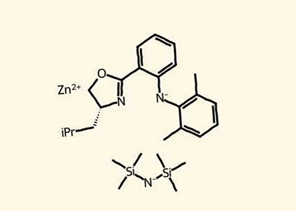 C[Si](C)(C)[N-][Si](C)(C)C.Cc1cccc(C)c1[N-]c1ccccc1C1=N[C@H](CC(C)C)CO1.[Zn+2]